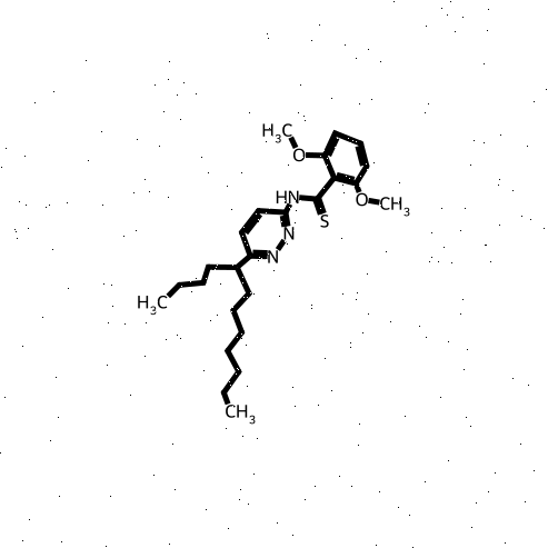 CCCCCCCC(CCCC)c1ccc(NC(=S)c2c(OC)cccc2OC)nn1